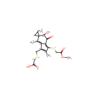 COC(=O)CSC1=C2C(=O)[C@](C)(O)C3(CC3)C(C)=C2C(CSCC(=O)O)=C1C